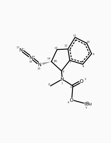 CN(C(=O)OC(C)(C)C)C1c2ccccc2C[C@H]1N=[N+]=[N-]